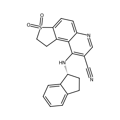 N#Cc1cnc2ccc3c(c2c1N[C@@H]1CCc2ccccc21)CCS3(=O)=O